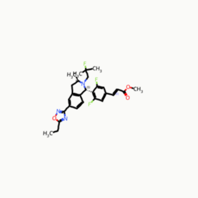 CCc1nc(-c2ccc3c(c2)C[C@@H](C)N(CC(C)(C)F)[C@@H]3c2c(F)cc(/C=C/C(=O)OC)cc2F)no1